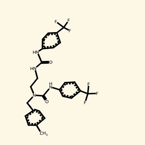 Cc1ccc(CN(CCNC(=O)Nc2ccc(C(F)(F)F)cc2)C(=O)Nc2ccc(C(F)(F)F)cc2)cc1